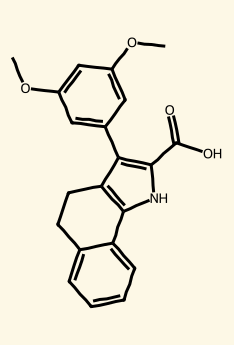 COc1cc(OC)cc(-c2c(C(=O)O)[nH]c3c2CCc2ccccc2-3)c1